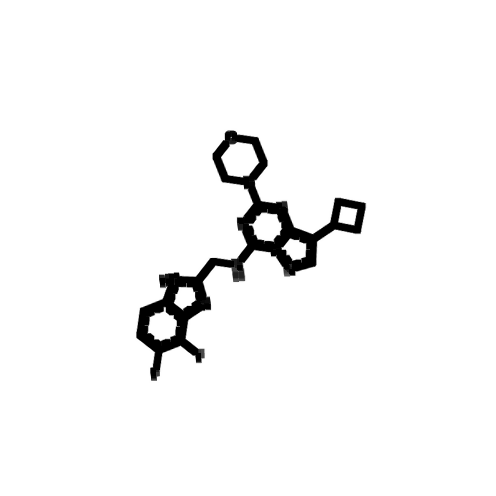 Fc1ccc2[nH]c(CNc3nc(N4CCOCC4)nc4c(C5CCC5)cnn34)nc2c1F